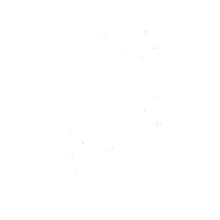 CCO[Si](CCCSP(=S)(CC)CCC[Si](OCC)(OCC)OCC)(OCC)OCC